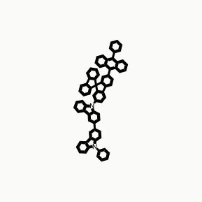 c1ccc(-c2c3ccccc3c(-c3ccc4c(c3)C3(c5ccccc5-c5ccccc53)c3cc(-n5c6ccccc6c6cc(-c7ccc8c(c7)c7ccccc7n8-c7ccccc7)ccc65)ccc3-4)c3ccccc23)cc1